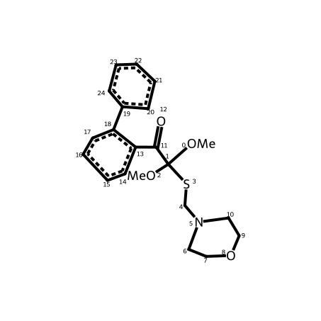 COC(OC)(SCN1CCOCC1)C(=O)c1ccccc1-c1ccccc1